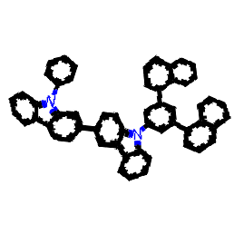 c1ccc(-n2c3ccccc3c3ccc(-c4ccc5c(c4)c4ccccc4n5-c4cc(-c5cccc6ccccc56)cc(-c5cccc6ccccc56)c4)cc32)cc1